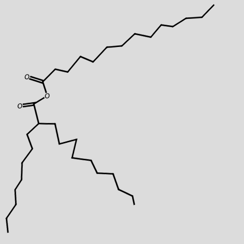 CCCCCCCCCCCCCC(=O)OC(=O)C(CCCCCCCC)CCCCCCCCCC